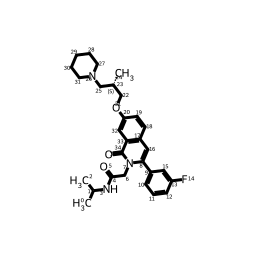 CC(C)NC(=O)Cn1c(-c2cccc(F)c2)cc2ccc(OC[C@@H](C)CN3CCCCC3)cc2c1=O